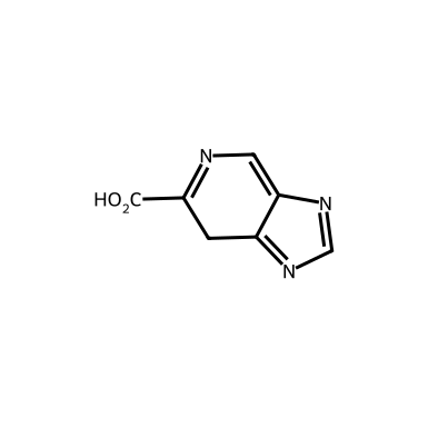 O=C(O)C1=NC=C2N=CN=C2C1